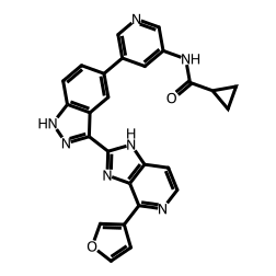 O=C(Nc1cncc(-c2ccc3[nH]nc(-c4nc5c(-c6ccoc6)nccc5[nH]4)c3c2)c1)C1CC1